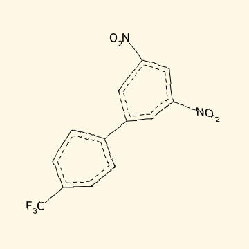 O=[N+]([O-])c1cc(-c2ccc(C(F)(F)F)cc2)cc([N+](=O)[O-])c1